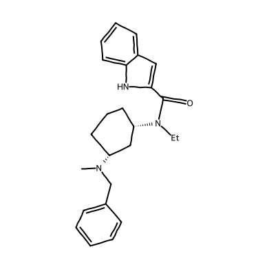 CCN(C(=O)c1cc2ccccc2[nH]1)[C@H]1CCC[C@@H](N(C)Cc2ccccc2)C1